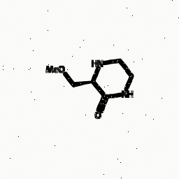 COC[C@H]1NCCNC1=O